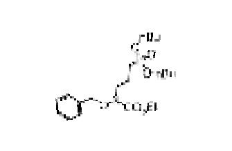 CCCCOP(=O)(CCCN(OCc1ccccc1)C(=O)OCC)OCCCC